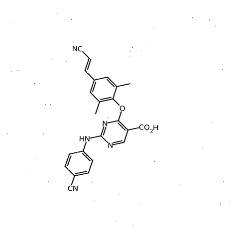 Cc1cc(/C=C/C#N)cc(C)c1Oc1nc(Nc2ccc(C#N)cc2)ncc1C(=O)O